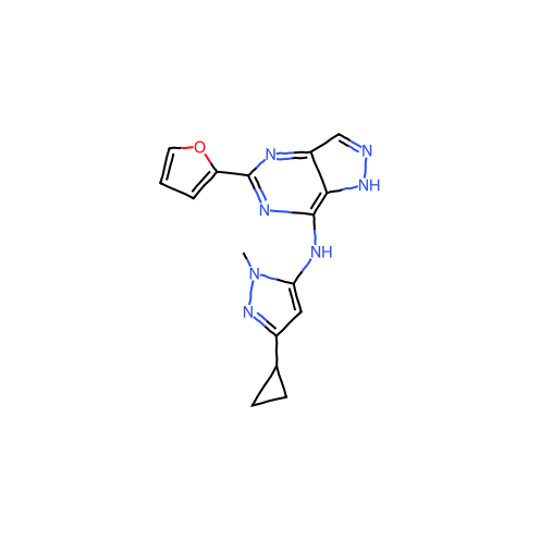 Cn1nc(C2CC2)cc1Nc1nc(-c2ccco2)nc2cn[nH]c12